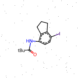 CC(C)(C)C(=O)Nc1ccc(I)c2c1CCC2